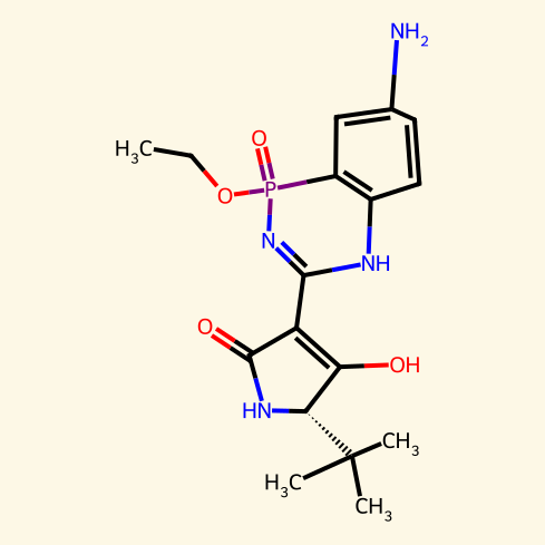 CCOP1(=O)N=C(C2=C(O)[C@H](C(C)(C)C)NC2=O)Nc2ccc(N)cc21